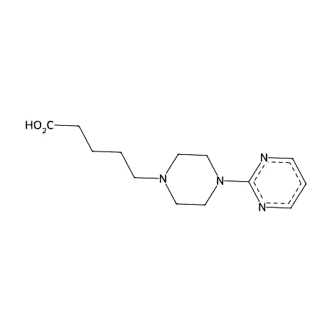 O=C(O)CCCCN1CCN(c2ncccn2)CC1